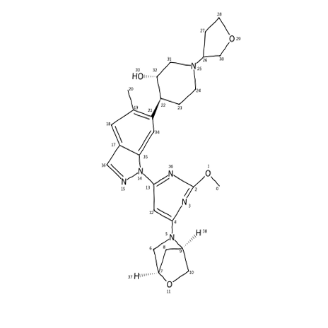 COc1nc(N2C[C@H]3C[C@@H]2CO3)cc(-n2ncc3cc(C)c([C@@H]4CCN(C5CCOC5)C[C@H]4O)cc32)n1